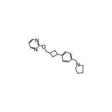 c1cnc(OCC2CC(c3ccc(CN4CCCC4)cc3)C2)nc1